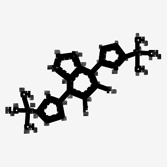 [CH3][Sn]([CH3])([CH3])[c]1ccc(-c2c(F)c(F)c(-c3cc[c]([Sn]([CH3])([CH3])[CH3])s3)c3nsnc23)s1